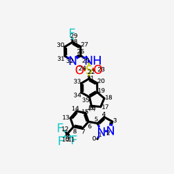 Cn1nccc1-c1cc(C(F)(F)F)ccc1[C@H]1CCc2cc(S(=O)(=O)Nc3cc(F)ccn3)ccc21